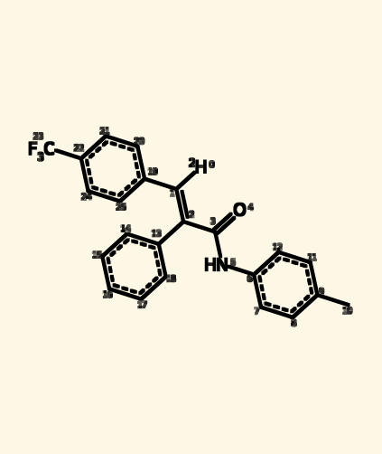 [2H]C(=C(C(=O)Nc1ccc(C)cc1)c1ccccc1)c1ccc(C(F)(F)F)cc1